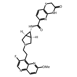 COc1ccc2ncc(F)c(CCN3C[C@@H]4[C@H](C3)[C@H]4NC(=O)c3ccc4c(n3)NC(=O)CS4)c2n1